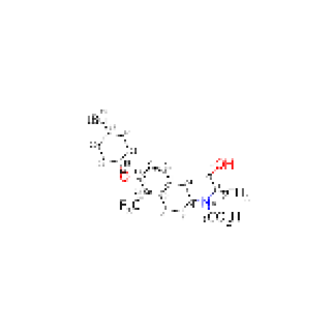 CC(CO)N(C(=O)O)C1CCc2c(ccc(OC3CCC(C(C)(C)C)CC3)c2C(F)(F)F)C1